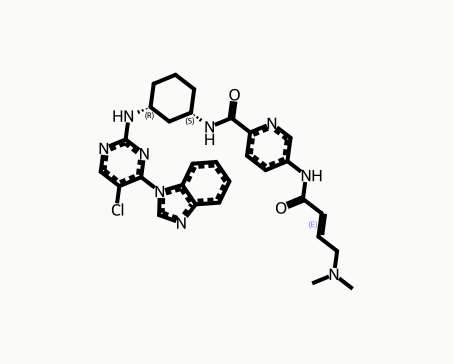 CN(C)C/C=C/C(=O)Nc1ccc(C(=O)N[C@H]2CCC[C@@H](Nc3ncc(Cl)c(-n4cnc5ccccc54)n3)C2)nc1